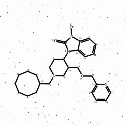 CCn1c(=O)n(C2CCN(CC3CCCCCCC3)CC2COCc2ccccn2)c2ccccc21